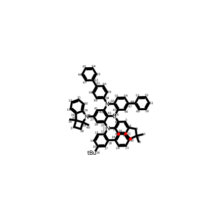 CC1(C)Cc2cc3c(cc2C1)N(c1ccc(C(C)(C)C)cc1-c1ccccc1)c1cc(N2c4ccccc4C4(C)CCC24C)cc2c1B3c1cc(-c3ccccc3)ccc1N2c1ccc(-c2ccccc2)cc1